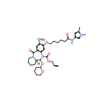 C=CCOC(=O)N1c2cc(OCCCCCC(=O)Nc3cc(C)n(C)c3)c(OC)cc2C(=O)N2CCCC[C@H]2C1OC1CCCCO1